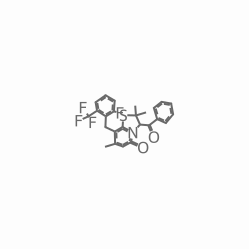 Cc1cc(=O)n2c(c1Cc1c(F)cccc1C(F)(F)F)SC(C)(C)C2C(=O)c1ccccc1